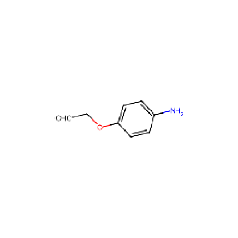 Nc1ccc(OC[C]=O)cc1